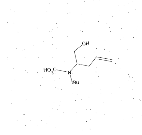 C=CCC(CO)N(C(=O)O)C(C)(C)C